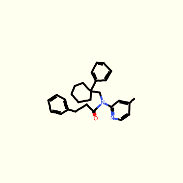 Cc1ccnc(N(CC2(c3ccccc3)CCCCC2)C(=O)CCc2ccccc2)c1